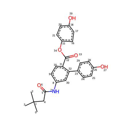 CC(C)(C)CC(=O)Nc1ccc(C(=O)Oc2ccc(O)cc2)c(-c2ccc(O)cc2)c1